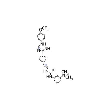 CN(C)c1cccc(NC(=S)N/N=C/c2ccc(C(=N)/N=C\Nc3ccc(OC(F)(F)F)cc3)cc2)c1